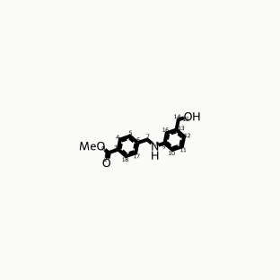 COC(=O)c1ccc(CNc2cccc(CO)c2)cc1